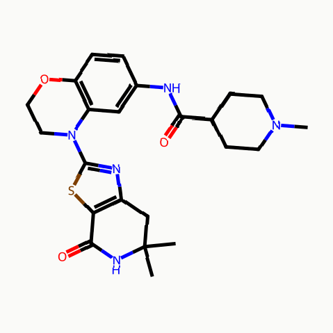 CN1CCC(C(=O)Nc2ccc3c(c2)N(c2nc4c(s2)C(=O)NC(C)(C)C4)CCO3)CC1